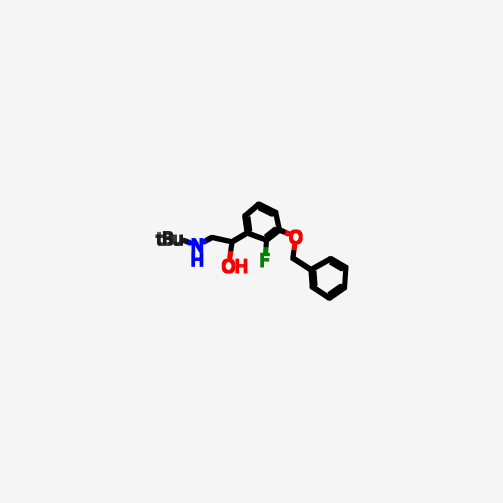 CC(C)(C)NCC(O)c1cccc(OCc2ccccc2)c1F